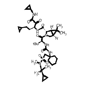 CN(C(C)(C)C1CC1)S(=O)(=O)CC1(NC(=O)N[C@H](C(=O)N2C[C@H]3[C@@H]([C@H]2C(=O)N[C@@H](CCC2CC2)C(=O)C(=O)NC2CC2)C3(C)C)C(C)(C)C)CCCCC1